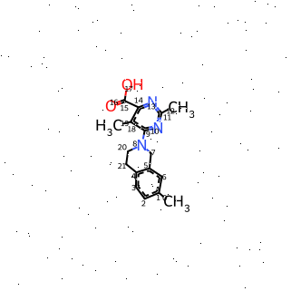 Cc1ccc2c(c1)CN(c1nc(C)nc(C(=O)O)c1C)CC2